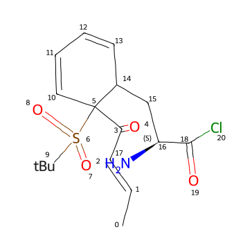 CC=CC(=O)C1(S(=O)(=O)C(C)(C)C)C=CC=CC1C[C@H](N)C(=O)Cl